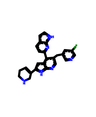 Fc1cncc(Cc2cnc3[nH]c(C4=CCCNC4)cc3c2-c2ccc3cc[nH]c3n2)c1